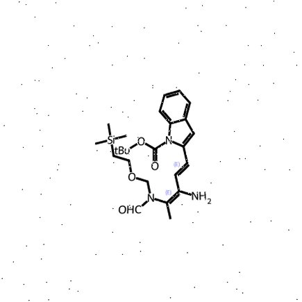 C/C(=C(N)/C=C/c1cc2ccccc2n1C(=O)OC(C)(C)C)N(C=O)COCC[Si](C)(C)C